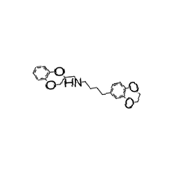 c1ccc2c(c1)OCC(CNCCCCc1ccc3c(c1)OCCO3)O2